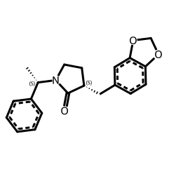 C[C@@H](c1ccccc1)N1CC[C@H](Cc2ccc3c(c2)OCO3)C1=O